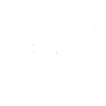 COc1cccc([C@@H](Oc2ccc3c(cnn3-c3ccc(F)cc3)c2)[C@H](C)NC(=O)c2ccccn2)c1